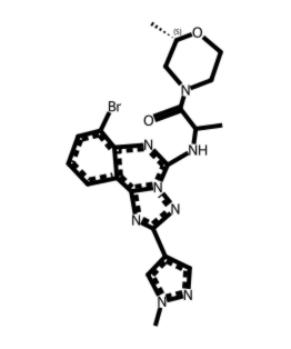 CC(Nc1nc2c(Br)cccc2c2nc(-c3cnn(C)c3)nn12)C(=O)N1CCO[C@@H](C)C1